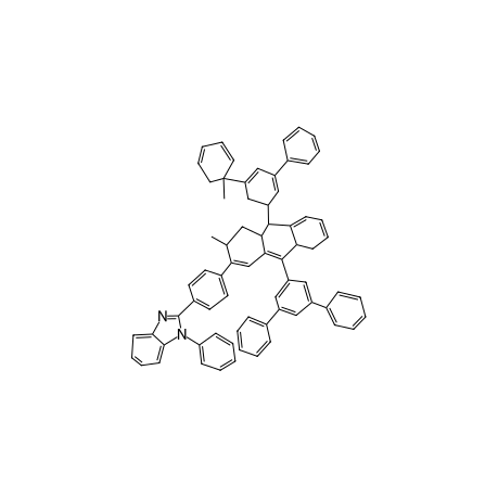 CC1CC2C(=C(c3cc(-c4ccccc4)cc(-c4ccccc4)c3)C3CC=CC=C3C2C2C=C(c3ccccc3)C=C(C3(C)C=CC=CC3)C2)C=C1c1ccc(-c2nc3ccccc3n2-c2ccccc2)cc1